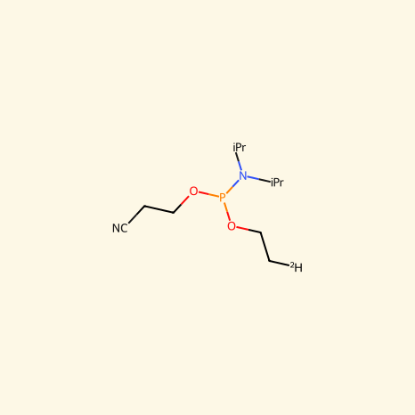 [2H]CCOP(OCCC#N)N(C(C)C)C(C)C